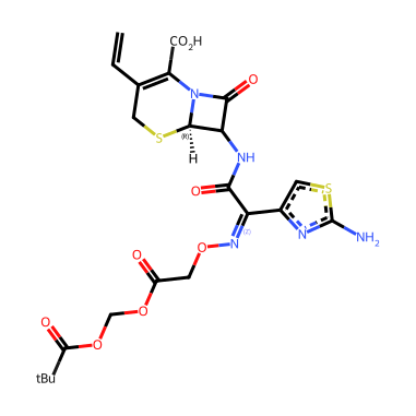 C=CC1=C(C(=O)O)N2C(=O)C(NC(=O)/C(=N\OCC(=O)OCOC(=O)C(C)(C)C)c3csc(N)n3)[C@H]2SC1